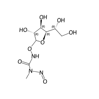 CN(N=O)C(=O)NOC1O[C@H]([C@H](O)CO)[C@H](O)[C@H]1O